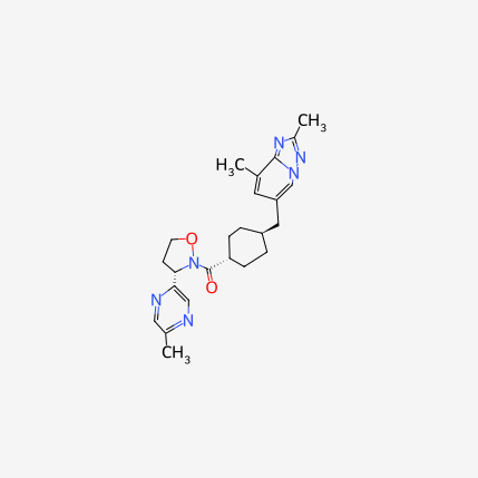 Cc1cnc([C@@H]2CCON2C(=O)[C@H]2CC[C@H](Cc3cc(C)c4nc(C)nn4c3)CC2)cn1